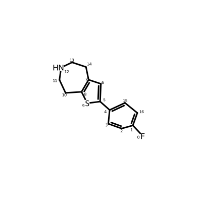 Fc1ccc(-c2cc3c(s2)CCNCC3)cc1